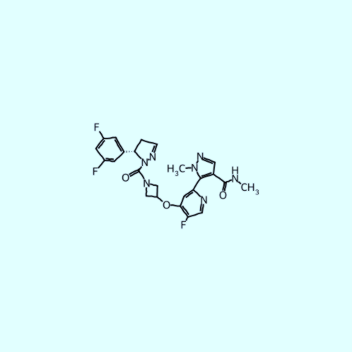 CNC(=O)c1cnn(C)c1-c1cc(OC2CN(C(=O)N3N=CC[C@H]3c3cc(F)cc(F)c3)C2)c(F)cn1